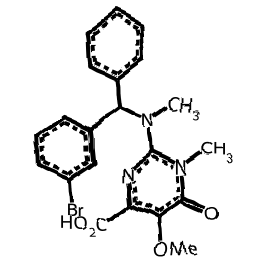 COc1c(C(=O)O)nc(N(C)C(c2ccccc2)c2cccc(Br)c2)n(C)c1=O